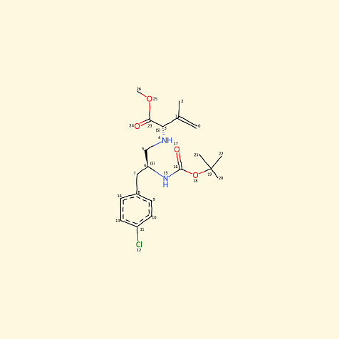 C=C(C)[C@H](NC[C@H](Cc1ccc(Cl)cc1)NC(=O)OC(C)(C)C)C(=O)OC